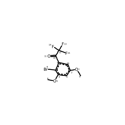 COc1cc(OC)c(Br)c(C(=O)C(F)(F)F)c1